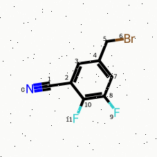 N#Cc1cc(CBr)cc(F)c1F